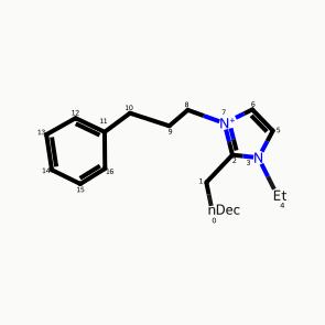 CCCCCCCCCCCc1n(CC)cc[n+]1CCCc1ccccc1